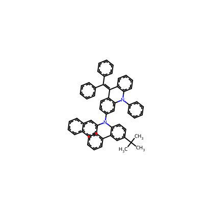 CC(C)(C)c1ccc(N(c2ccc3c(c2)N(c2ccccc2)c2ccccc2C3=C(c2ccccc2)c2ccccc2)c2ccc3ccccc3c2)c(-c2ccccc2)c1